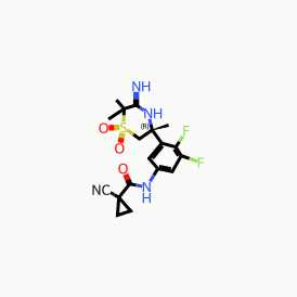 CC1(C)C(=N)N[C@](C)(c2cc(NC(=O)C3(C#N)CC3)cc(F)c2F)CS1(=O)=O